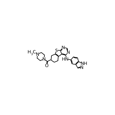 CN1CCN(C(=O)C2CCc3c(sc4ncnc(Nc5ccc6[nH]ncc6c5)c34)C2)CC1